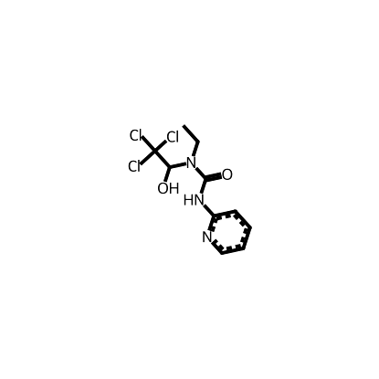 CCN(C(=O)Nc1ccccn1)C(O)C(Cl)(Cl)Cl